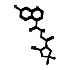 N#CC1CC(F)(F)CN1C(=O)CNC(=O)c1ccnc2cc(F)ccc12